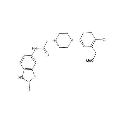 COCc1cc(N2CCN(CC(=O)Nc3ccc4[nH]c(=O)oc4c3)CC2)ccc1Cl